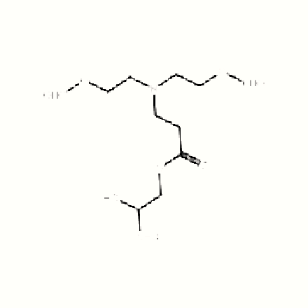 O=COCCN(CCOC=O)CCC(=O)OCC(O)C=O